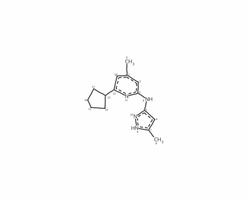 Cc1cc(Nc2cc(C)[nH]n2)nc(C2CCCC2)c1